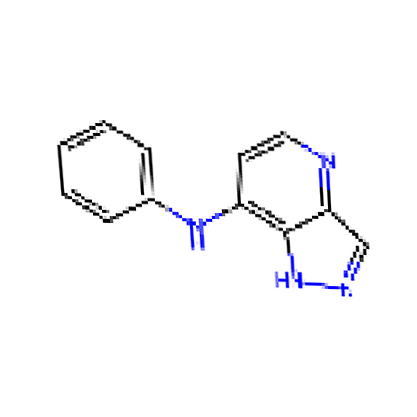 c1ccc(Nc2ccnc3cn[nH]c23)cc1